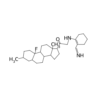 CC1CCC2(F)C(CCC3C4CCC(C(=O)CNC5=C(C=N)CCCC5)C4(C)CCC32)C1